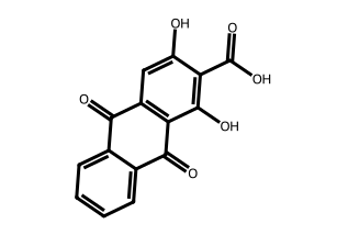 O=C1c2ccccc2C(=O)c2c1cc(O)c(C(=O)O)c2O